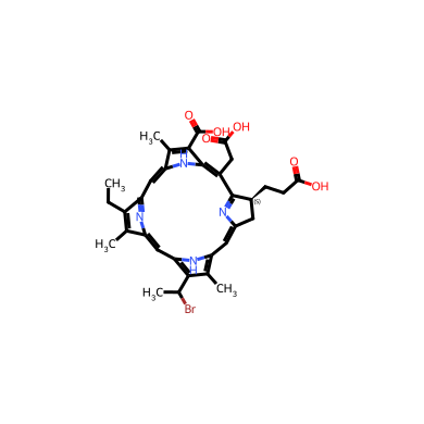 CCC1=C(C)c2cc3[nH]c(cc4nc(c(CC(=O)O)c5[nH]c(cc1n2)c(C)c5C(=O)O)[C@@H](CCC(=O)O)C4)c(C)c3C(C)Br